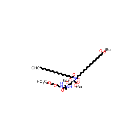 CC(C)(C)OC(=O)CCCCCCCCCCCCCCCCC(=O)N(C(=O)C(CCCCCCCCCCCCCCCC=O)OC(C)(C)C)[C@@H](CCC(=O)NC(C)(C)C(=O)NCCOCCOCC(=O)O)C(=O)OC(C)(C)C